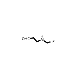 CCC[CH2][AlH][CH2]CC=O